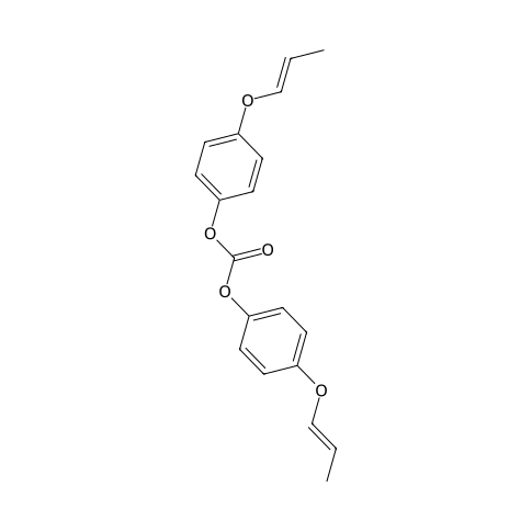 CC=COc1ccc(OC(=O)Oc2ccc(OC=CC)cc2)cc1